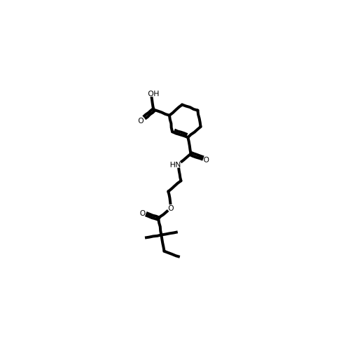 CCC(C)(C)C(=O)OCCNC(=O)C1=CC(C(=O)O)CCC1